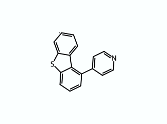 [c]1ccc2c(c1)sc1cccc(-c3ccncc3)c12